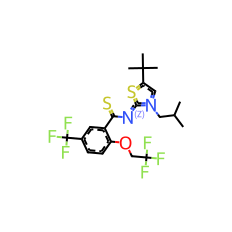 CC(C)Cn1cc(C(C)(C)C)s/c1=N\C(=S)c1cc(C(F)(F)F)ccc1OCC(F)(F)F